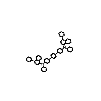 c1ccc(-c2ccc(N(c3ccccc3)c3ccc(-c4ccc(-c5ccc(N(c6ccccc6)c6ccc(-c7ccccc7)c7ccccc67)cc5)cc4)cc3)c3ccccc23)cc1